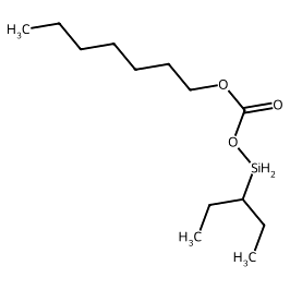 CCCCCCCOC(=O)O[SiH2]C(CC)CC